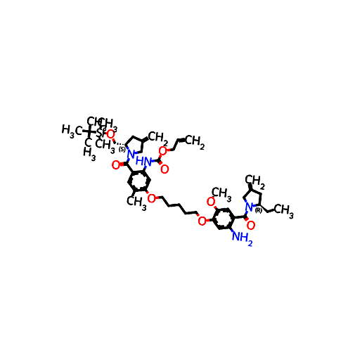 C=CCOC(=O)Nc1cc(OCCCCCOc2cc(N)c(C(=O)N3CC(=C)C[C@H]3CC)cc2OC)c(C)cc1C(=O)N1CC(=C)C[C@H]1CO[Si](C)(C)C(C)(C)C